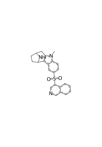 Cn1c2c(c3cc(S(=O)(=O)c4cncc5ccccc45)ccc31)C1CCC(C2)N1